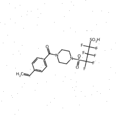 C=Cc1ccc(C(=O)N2CCN(S(=O)(=O)C(F)(F)C(F)(F)C(F)(F)S(=O)(=O)O)CC2)cc1